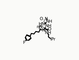 CCC[C@](NC(=N)N[N+](=O)[O-])(NC(=O)CCCCc1ccc(F)cc1)C(=O)N[CH]CC(C)C